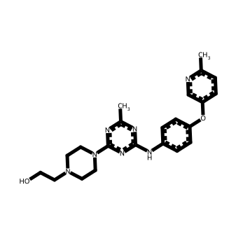 Cc1ccc(Oc2ccc(Nc3nc(C)nc(N4CCN(CCO)CC4)n3)cc2)cn1